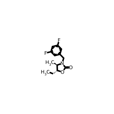 CC[C@H]1OC(=O)N(Cc2cc(F)cc(F)c2)[C@@H]1C